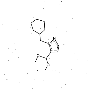 COC(OC)c1ccnn1CC1CCCCC1